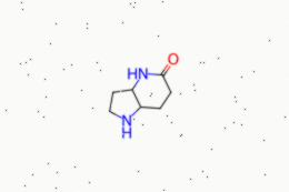 O=C1CCC2NCCC2N1